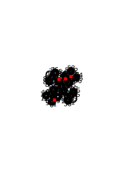 c1ccc(C2(c3ccccc3)c3ccccc3-c3ccc(-c4c5ccc(N6c7ccccc7Oc7ccccc76)cc5c(-c5ccc6c(c5)C(c5ccccc5)(c5ccccc5)c5ccccc5-6)c5ccc(N6c7ccccc7Oc7ccccc76)cc45)cc32)cc1